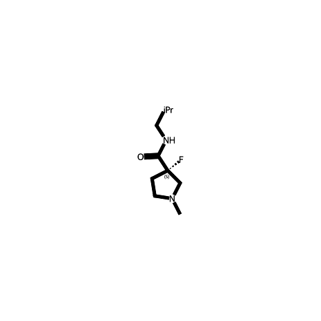 CC(C)CNC(=O)[C@]1(F)CCN(C)C1